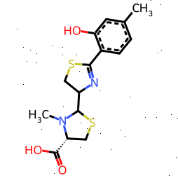 Cc1ccc(C2=NC(C3SC[C@H](C(=O)O)N3C)CS2)c(O)c1